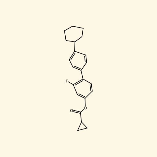 O=C(Oc1ccc(-c2ccc(C3CCCCC3)cc2)c(F)c1)C1CC1